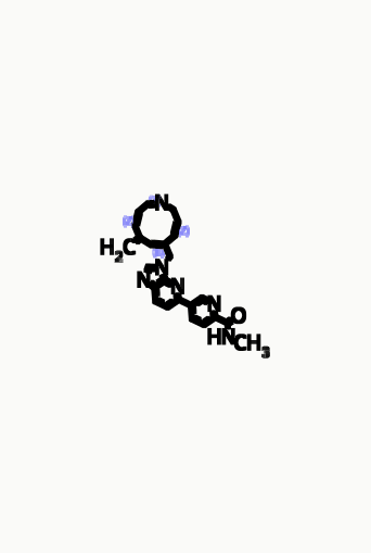 C=C1/C=C\C=N/C/C=C\C(Cn2cnc3ccc(-c4ccc(C(=O)NC)nc4)nc32)=C/1